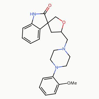 COc1ccccc1N1CCN(CC2CC3(CO2)C(=O)Nc2ccccc23)CC1